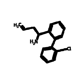 C=CCC(N)c1ccccc1-c1ccccc1Cl